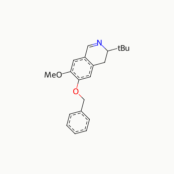 COc1cc2c(cc1OCc1ccccc1)CC(C(C)(C)C)N=C2